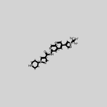 [2H]C([2H])([2H])n1cc(-c2cnc3cnc(NC(=O)c4cnn(C5CCNCC5)c4)cc3c2)cn1